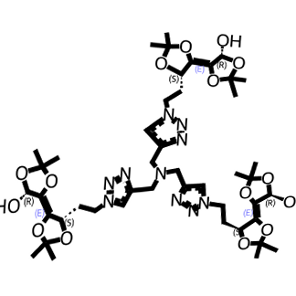 CC1(C)O/C(=C2/OC(C)(C)O[C@H]2CCn2cc(CN(Cc3cn(CC[C@@H]4OC(C)(C)O/C4=C4/OC(C)(C)O[C@H]4O)nn3)Cc3cn(CC[C@@H]4OC(C)(C)O/C4=C4/OC(C)(C)O[C@H]4O)nn3)nn2)[C@H](O)O1